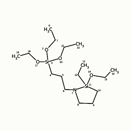 CCO[Si](CCCN1CCC[Si]1(CC)OCC)(OCC)OCC